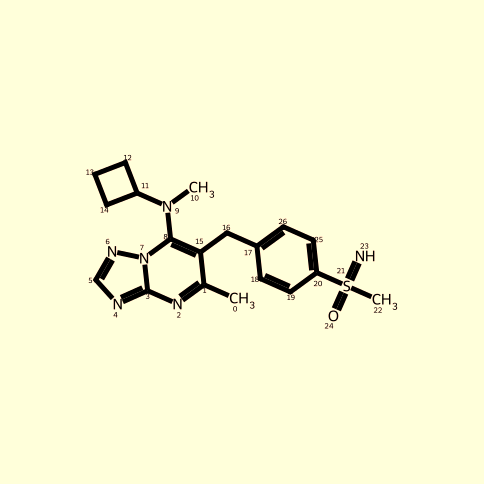 Cc1nc2ncnn2c(N(C)C2CCC2)c1Cc1ccc(S(C)(=N)=O)cc1